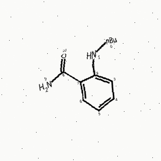 CCCCNc1ccccc1C(N)=O